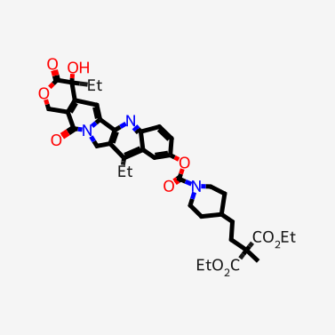 CCOC(=O)C(C)(CCC1CCN(C(=O)Oc2ccc3nc4c(c(CC)c3c2)Cn2c-4cc3c(c2=O)COC(=O)C3(O)CC)CC1)C(=O)OCC